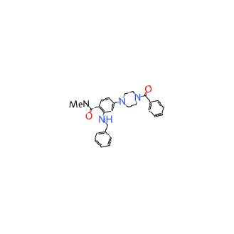 CNC(=O)c1ccc(N2CCN(C(=O)c3ccccc3)CC2)cc1NCc1ccccc1